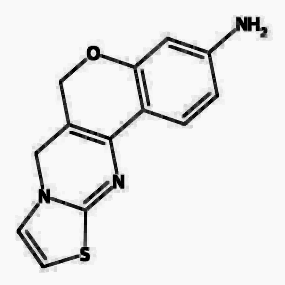 Nc1ccc2c(c1)OCC1=C2N=C2SC=CN2C1